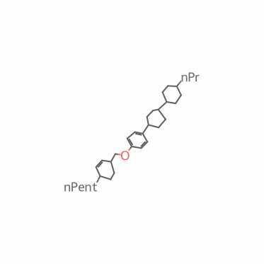 CCCCCC1C=CC(COc2ccc(C3CCC(C4CCC(CCC)CC4)CC3)cc2)CC1